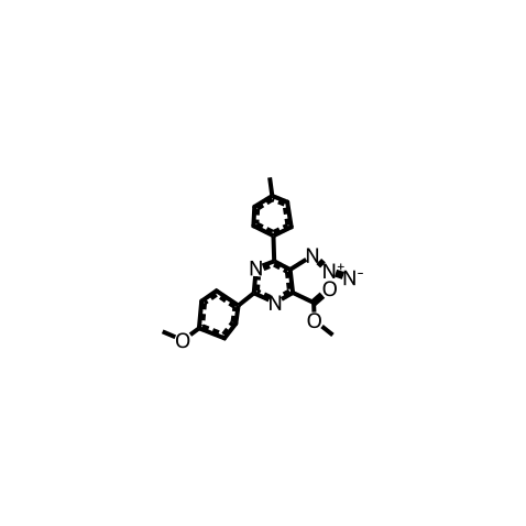 COC(=O)c1nc(-c2ccc(OC)cc2)nc(-c2ccc(C)cc2)c1N=[N+]=[N-]